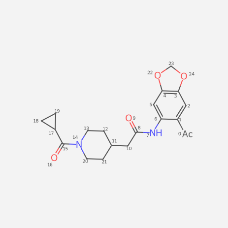 CC(=O)c1cc2c(cc1NC(=O)CC1CCN(C(=O)C3CC3)CC1)OCO2